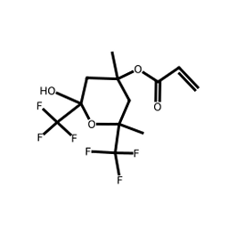 C=CC(=O)OC1(C)CC(C)(C(F)(F)F)OC(O)(C(F)(F)F)C1